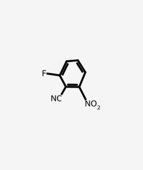 N#Cc1c(F)cccc1[N+](=O)[O-]